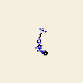 N=C(N)NCCCCN1CCN(c2c[nH]c(Nc3nc4ccccc4[nH]3)nc2=O)CC1